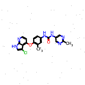 Cc1ncc(NC(=O)Nc2ccc(Oc3ccnc4[nH]cc(Cl)c34)c(C(F)(F)F)c2)cn1